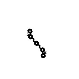 c1ccc2c(c1)sc1ccc(CCc3ccc(CCc4ccc5sc6ccccc6c5c4)cc3)cc12